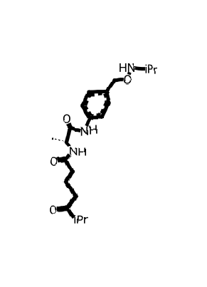 CC(C)NOCc1ccc(NC(=O)[C@@H](C)NC(=O)CCCC(=O)C(C)C)cc1